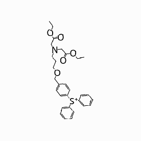 CCOC(=O)CN(CCCOCc1ccc([S+](c2ccccc2)c2ccccc2)cc1)CC(=O)OCC